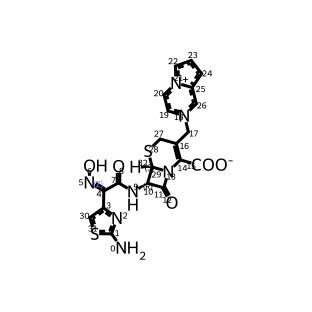 Nc1nc(/C(=N/O)C(=O)N[C@@H]2C(=O)N3C(C(=O)[O-])=C(Cn4cc[n+]5cccc-5c4)CS[C@@H]23)cs1